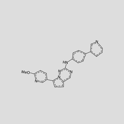 COc1ccc(-c2ccc3cnc(Nc4ccc(-c5cccnc5)cc4)nn23)cn1